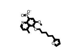 COc1cc([N+](=O)[O-])c2nccc(C)c2c1OCCCCCc1ccco1